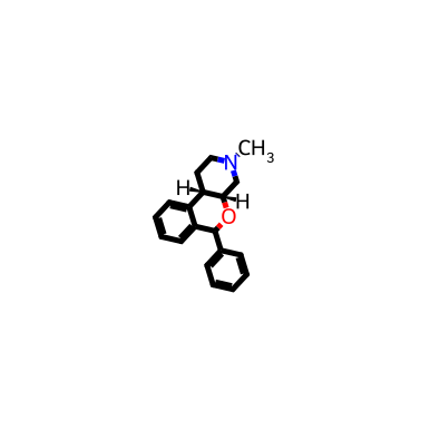 CN1CC[C@H]2c3ccccc3C(c3ccccc3)O[C@H]2C1